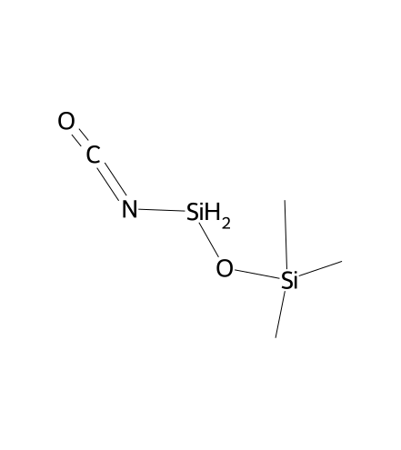 C[Si](C)(C)O[SiH2]N=C=O